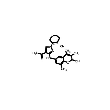 CC1=C(C)c2cc(Nc3nn([C@H]4COCC[C@@H]4C#N)cc3C(N)=O)cc(C)c2OB1O